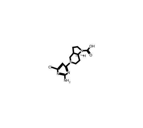 Nc1nc(Cl)cc(N2CC[C@H]3C(CCN3C(=O)O)C2)n1